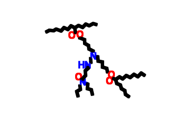 CCCCCCCCC(CCCCCC)C(=O)OCCCCCCN(CCCCCCOC(=O)C(CCCCCC)CCCCCCCC)CCNCCCC(=O)N(CCCC)CCCC